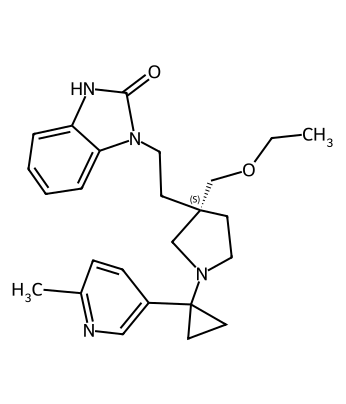 CCOC[C@]1(CCn2c(=O)[nH]c3ccccc32)CCN(C2(c3ccc(C)nc3)CC2)C1